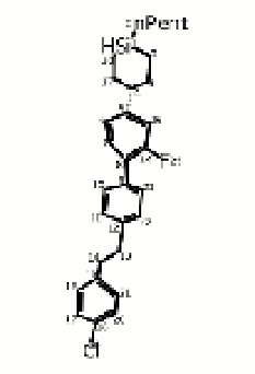 CCCCC[Si@H]1CC[C@H](c2ccc(-c3ccc(CCc4ccc(Cl)cc4)cc3)c(F)c2)CC1